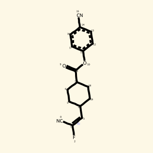 N#C/C(F)=C\C1CCC(C(=O)Oc2ccc(C#N)cc2)CC1